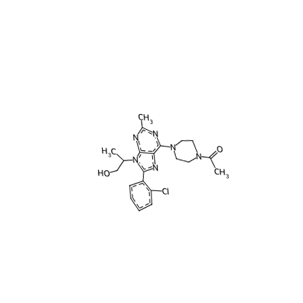 CC(=O)N1CCN(c2nc(C)nc3c2nc(-c2ccccc2Cl)n3C(C)CO)CC1